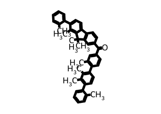 Cc1ccccc1-c1ccc(-c2ccc(C(=O)c3ccc4c(c3)C(C)(C)c3c-4ccc(-c4ccccc4C)c3C)cc2C)c(C)c1C